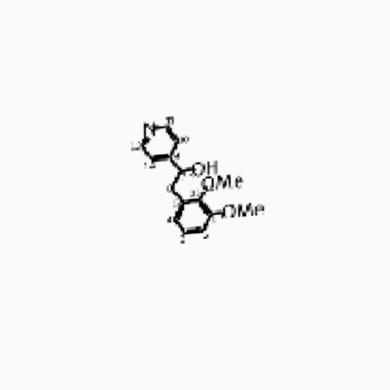 COc1cccc(CC(O)c2ccncc2)c1OC